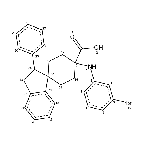 O=C(O)C1(Nc2cccc(Br)c2)CCC2(CC1)c1ccccc1CC2c1ccccc1